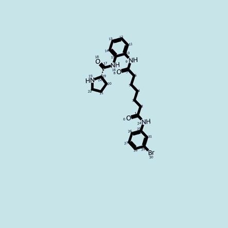 O=C(CCCCCC(=O)Nc1ccccc1NC(=O)[C@@H]1CCCN1)Nc1cccc(Br)c1